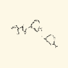 O=C(O)CNc1cccc(OCc2ccc(F)cc2)c1